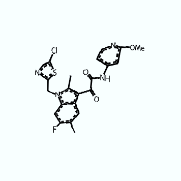 COc1cc(NC(=O)C(=O)c2c(C)n(Cc3ncc(Cl)s3)c3cc(F)c(C)cc23)ccn1